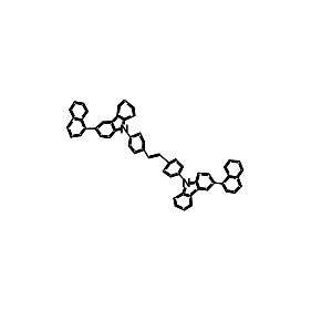 C(=C\c1ccc(-n2c3ccccc3c3cc(-c4cccc5ccccc45)ccc32)cc1)/c1ccc(-n2c3ccccc3c3cc(-c4cccc5ccccc45)ccc32)cc1